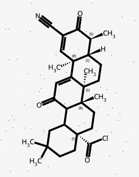 C[C@@H]1C(=O)C(C#N)=C[C@]2(C)C3=CC(=O)C4C5CC(C)(C)CC[C@]5(C(=O)Cl)CC[C@@]4(C)[C@]3(C)CC[C@@H]12